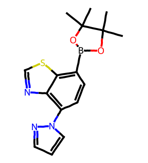 CC1(C)OB(c2ccc(-n3cccn3)c3ncsc23)OC1(C)C